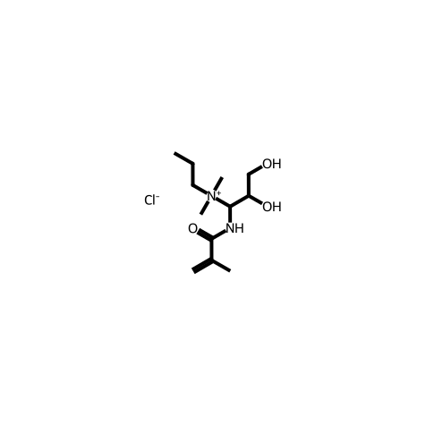 C=C(C)C(=O)NC(C(O)CO)[N+](C)(C)CCC.[Cl-]